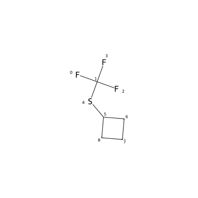 FC(F)(F)SC1C[CH]C1